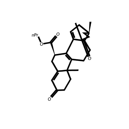 CCCOC(=O)[C@@H]1CC2=CC(=O)CCC2(C)C2=C1C1=CC[C@@]3(C)CCC(=O)C13CC2